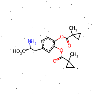 CC1(C(=O)Oc2ccc(C[C@H](N)C(=O)O)cc2OC(=O)C2(C)CC2)CC1